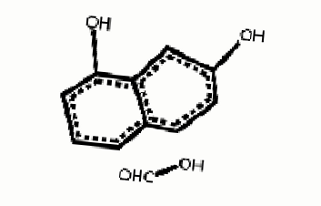 O=CO.Oc1ccc2cccc(O)c2c1